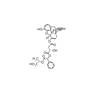 CC[C@]12c3c4ccc(O)c3O[C@H]1C(OC(=O)C[C@H](O)C(=O)O[C@H](C(=O)O[C@@H](C)C(=O)O)c1ccccc1)=CC[C@@]2(O)[C@H](NC)C4